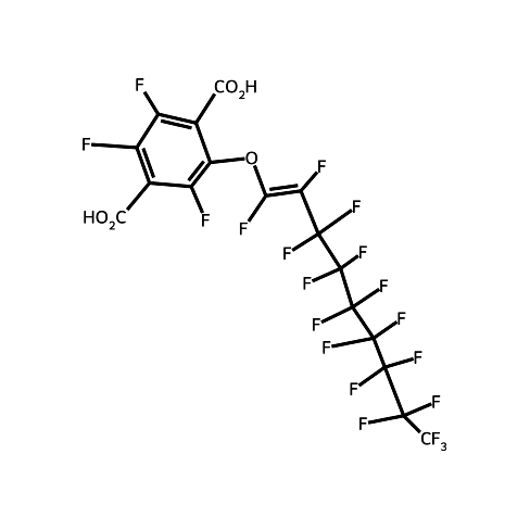 O=C(O)c1c(F)c(F)c(C(=O)O)c(OC(F)=C(F)C(F)(F)C(F)(F)C(F)(F)C(F)(F)C(F)(F)C(F)(F)C(F)(F)F)c1F